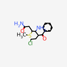 CSC(CC(N)=O)C(N)C(CCCl)C(=O)c1ccccc1